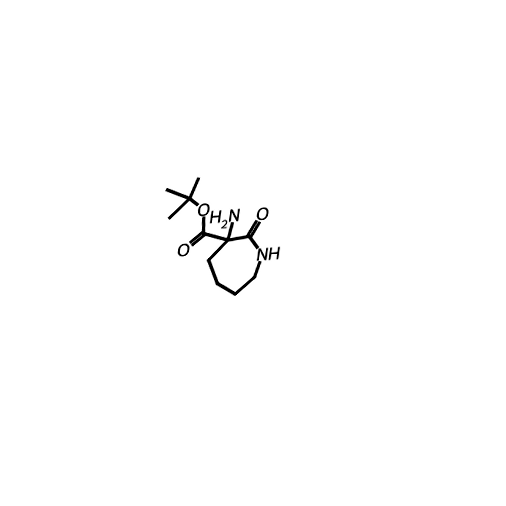 CC(C)(C)OC(=O)C1(N)CCCCNC1=O